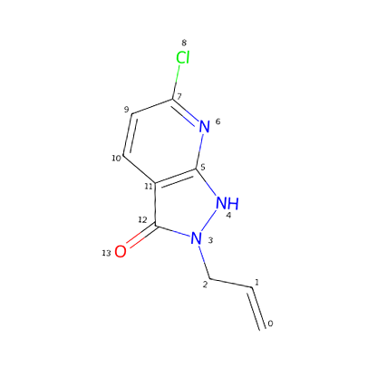 C=CCn1[nH]c2nc(Cl)ccc2c1=O